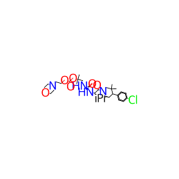 CC(C)[C@@H](NC(=O)NCC(C)(C)OC(=O)OCCN1CCOCC1)C(=O)N1CCC(c2ccc(Cl)cc2)C(C)(C)C1